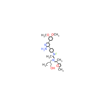 CCC(CCO)CN(/C=C(\C)c1ccc(C)o1)/C=C(\C)N(F)c1ccc(-c2cc(-c3ccc(OC)c(OC)c3)cnc2N)cc1